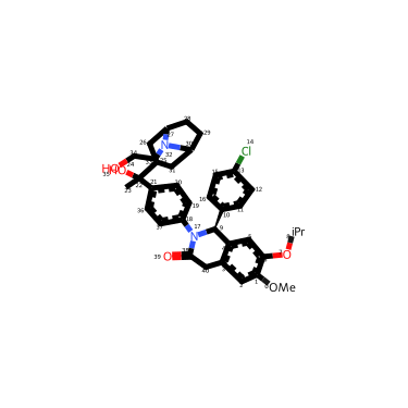 COc1cc2c(cc1OC(C)C)[C@H](c1ccc(Cl)cc1)N(c1ccc(C(C)(O)C3CC4CCC(C3)N4CCO)cc1)C(=O)C2